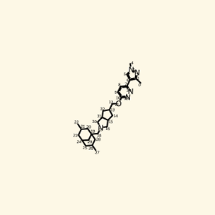 Cc1nn(C)cc1-c1ccc(OCC2CC3CN(CC45CC(C)CC(CC(C)C4)C5)CC3C2)nn1